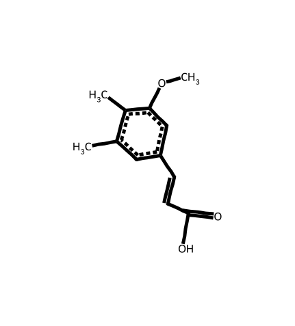 COc1cc(/C=C/C(=O)O)cc(C)c1C